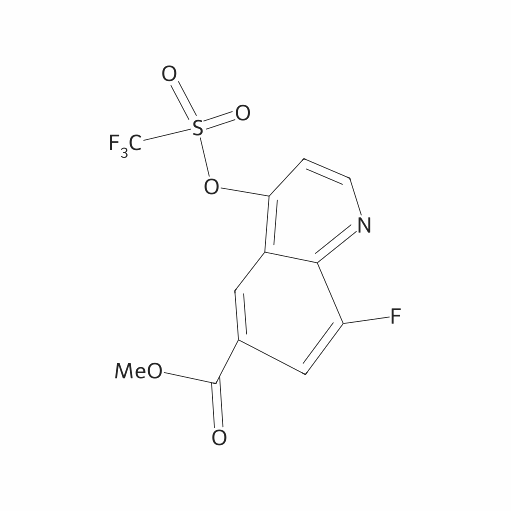 COC(=O)c1cc(F)c2nccc(OS(=O)(=O)C(F)(F)F)c2c1